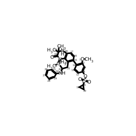 COc1cc(OS(=O)(=O)C2CC2)ccc1-c1ccc2c(c1CC(Nc1ccccc1)OC)N(C)C(=O)C(C)(C)N2